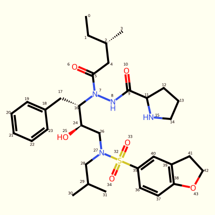 CC[C@H](C)CC(=O)N(NC(=O)C1CCCN1)[C@@H](Cc1ccccc1)[C@H](O)CN(CC(C)C)S(=O)(=O)c1ccc2c(c1)CCO2